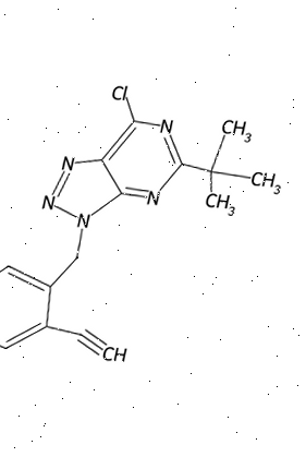 C#Cc1ccccc1Cn1nnc2c(Cl)nc(C(C)(C)C)nc21